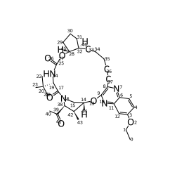 CCOc1ccc2nc3c(nc2c1)O[C@H]1CN(C(=O)[C@H](C(C)(C)C)NC(=O)O[C@@H]2CCC[C@H]2CCCCC3)[C@H](C(C)=O)[C@@H]1C